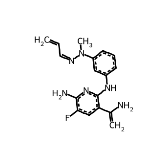 C=C/C=N\N(C)c1cccc(Nc2nc(N)c(F)cc2C(=C)N)c1